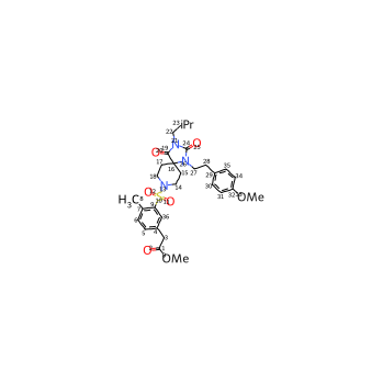 COC(=O)Cc1ccc(C)c(S(=O)(=O)N2CCC3(CC2)C(=O)N(CC(C)C)C(=O)N3CCc2ccc(OC)cc2)c1